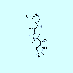 Cc1c(C(=O)Nc2ccnc(Cl)c2)c(C)n(C)c1C(=O)C(=O)NC(C)C(F)(F)F